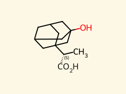 C[C@H](C(=O)O)C12CC3CC(CC(O)(C3)C1)C2